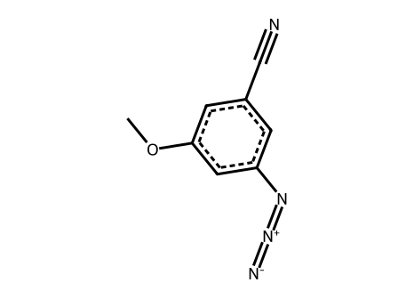 COc1cc(C#N)cc(N=[N+]=[N-])c1